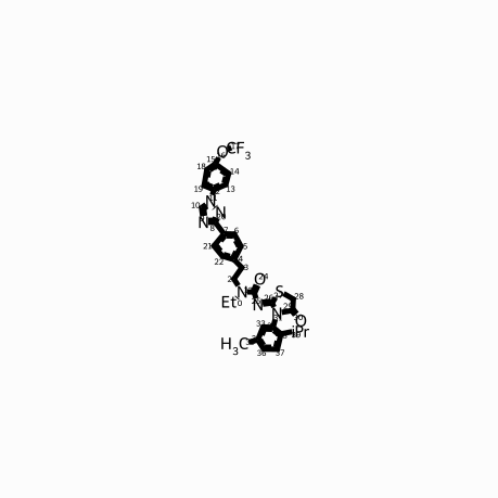 CCN(CCc1ccc(-c2ncn(-c3ccc(OC(F)(F)F)cc3)n2)cc1)C(=O)/N=C1\SCC(=O)N1c1cc(C)ccc1C(C)C